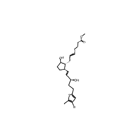 COC(=O)CCCC=CC[C@H]1C(O)CC[C@@H]1C=C[C@@H](O)CCc1cc(Br)c(C)s1